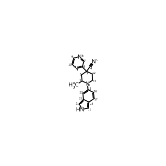 CC1CC(C#N)(c2cnccn2)CCN1c1ccc2c[nH]cc2c1